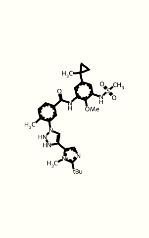 COc1c(NC(=O)c2ccc(C)c(N3C=C(c4cnc(C(C)(C)C)n4C)NN3)c2)cc(C2(C)CC2)cc1NS(C)(=O)=O